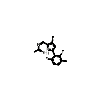 CC(=N)/N=C\c1[nH]c(-c2c(F)ccc(C)c2F)cc1F